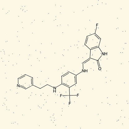 O=C1Nc2cc(F)ccc2C1=CNc1ccc(NCCc2cccnc2)c(C(F)(F)F)c1